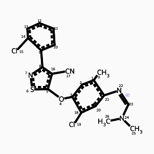 Cc1cc(Oc2snc(-c3ccccc3Cl)c2C#N)c(Cl)cc1/N=C\N(C)C